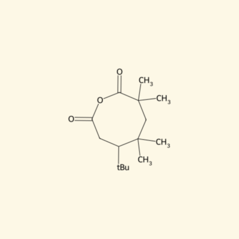 CC1(C)CC(C)(C)C(C(C)(C)C)CC(=O)OC1=O